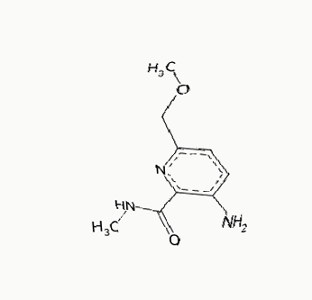 CNC(=O)c1nc(COC)ccc1N